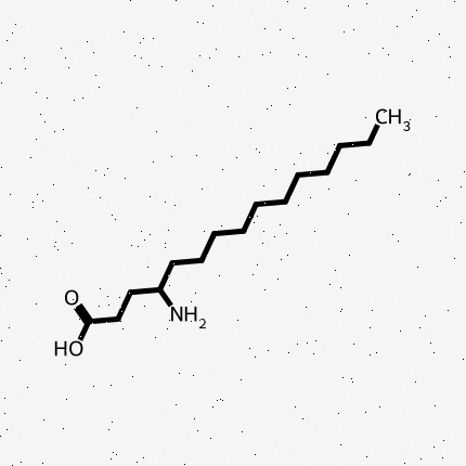 CCCCCCCCCCCC(N)CCC(=O)O